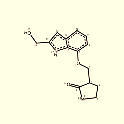 O=C1NCCC1COc1cccc2cc(CO)[nH]c12